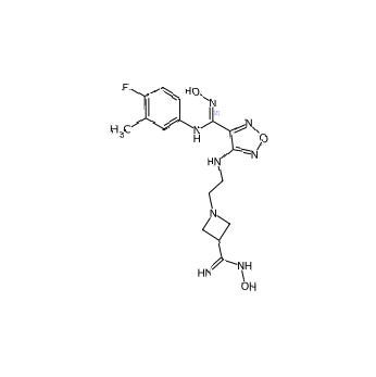 Cc1cc(N/C(=N\O)c2nonc2NCCN2CC(C(=N)NO)C2)ccc1F